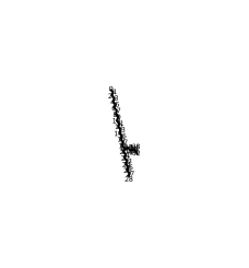 CCCCCC=CCC=CCCCCCCCCCC(CCCCCCCCC)CCN(C)C